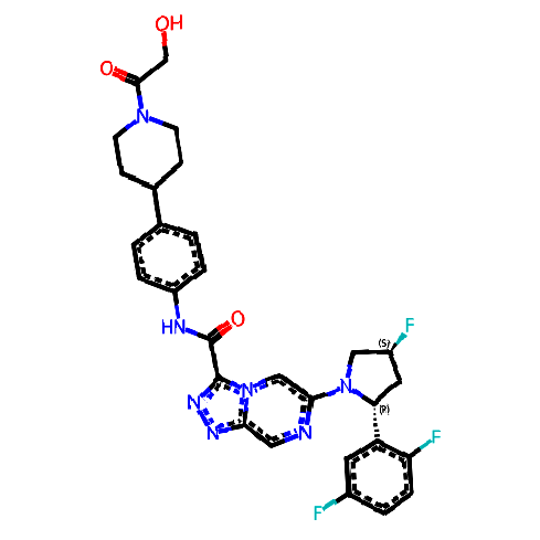 O=C(Nc1ccc(C2CCN(C(=O)CO)CC2)cc1)c1nnc2cnc(N3C[C@@H](F)C[C@@H]3c3cc(F)ccc3F)cn12